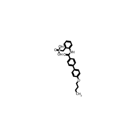 CCCCOc1ccc(-c2ccc(C(=O)Nc3ccccc3CP(=O)(O)O)cc2)cc1